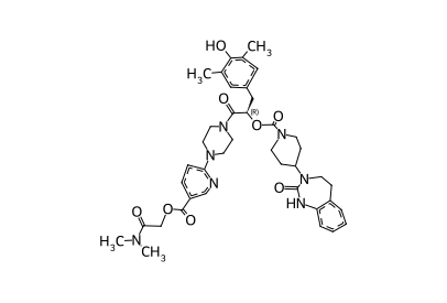 Cc1cc(C[C@@H](OC(=O)N2CCC(N3CCc4ccccc4NC3=O)CC2)C(=O)N2CCN(c3ccc(C(=O)OCC(=O)N(C)C)cn3)CC2)cc(C)c1O